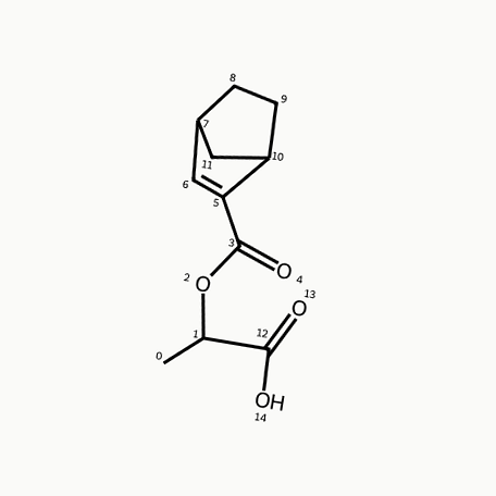 CC(OC(=O)C1=CC2CCC1C2)C(=O)O